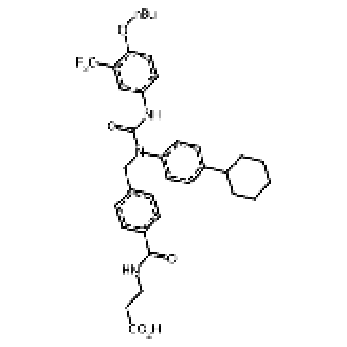 CCCCOc1ccc(NC(=O)N(Cc2ccc(C(=O)NCCC(=O)O)cc2)c2ccc(C3CCCCC3)cc2)cc1C(F)(F)F